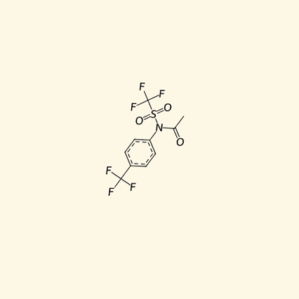 CC(=O)N(c1ccc(C(F)(F)F)cc1)S(=O)(=O)C(F)(F)F